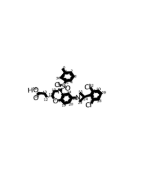 Cc1cccc(S(=O)(=O)N2C[C@@H](CCC(=O)O)Oc3ccc(N4CC(c5c(Cl)cccc5Cl)C4)cc32)c1